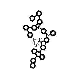 CC1(C)c2cc(-c3c4ccccc4c(-c4ccc5ccccc5c4)c4ccccc34)ccc2-c2ccc(N(c3ccccc3)c3ccc(-n4c5ccc(-c6ccccc6-c6ccccc6)cc5c5cc(-c6ccccc6-c6ccccc6)ccc54)cc3)cc21